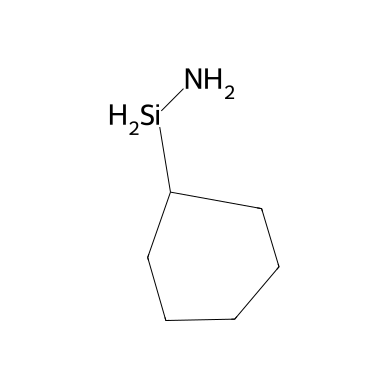 N[SiH2]C1CCCCC1